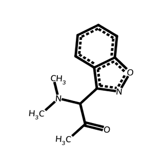 CC(=O)C(c1noc2ccccc12)N(C)C